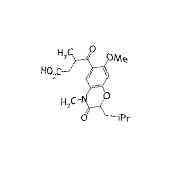 COc1cc2c(cc1C(=O)C(C)CC(=O)O)N(C)C(=O)C(CC(C)C)O2